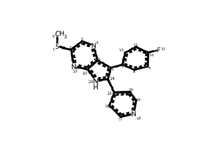 CSc1cnc2c(-c3ccc(F)cc3)c(-c3ccncc3)[nH]c2n1